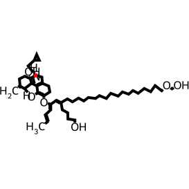 C=C1CC[C@@]2(O)[C@H]3CC4=C5C(=C(OC(/C=C(\CCCCO)CCCCCCCCCCCCCCCCCCOCO)=C\C=C\C)CC4)O[C@@H]1[C@]52CCN3CC1CC1